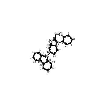 c1ccc2c(c1)OCc1nc3cc(-n4c5ccccc5c5ccccc54)ccc3n1-2